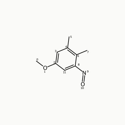 COc1cc(C)c(C)c(N=O)c1